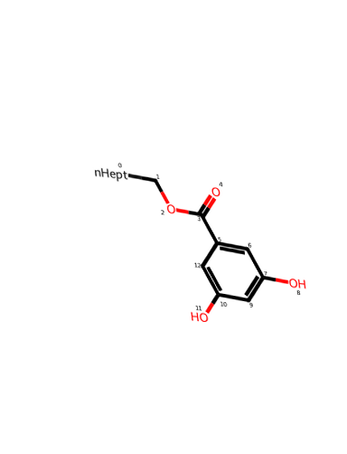 CCCCCCCCOC(=O)c1cc(O)cc(O)c1